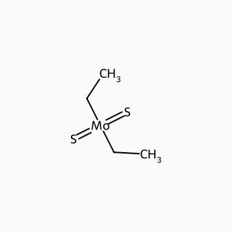 C[CH2][Mo](=[S])(=[S])[CH2]C